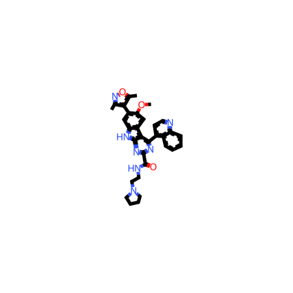 COc1cc2c(cc1-c1c(C)noc1C)[nH]c1nc(C(=O)NCCN3CCCC3)nc(-c3ccnc4ccccc34)c12